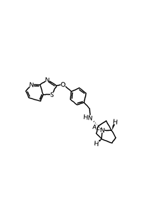 CC(=O)N1[C@@H]2CC[C@H]1C[C@@H](NCc1ccc(Oc3nc4ncccc4s3)cc1)C2